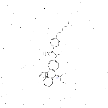 C=CNC1=C(/C(=C(\C)CC)N2CCCCC2)CC=C(N(C)C(=N)c2ccc(CCCCC)cc2)C=C1